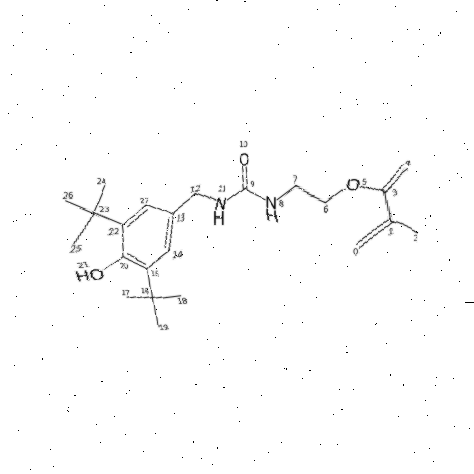 C=C(C)C(=C)OCCNC(=O)NCc1cc(C(C)(C)C)c(O)c(C(C)(C)C)c1